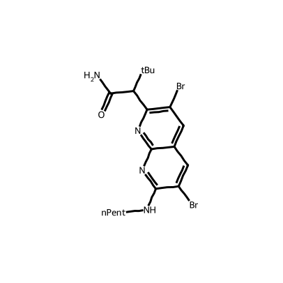 CCCCCNc1nc2nc(C(C(N)=O)C(C)(C)C)c(Br)cc2cc1Br